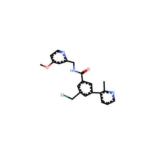 COc1ccnc(CNC(=O)c2cc(CCl)cc(-c3cccnc3C)c2)c1